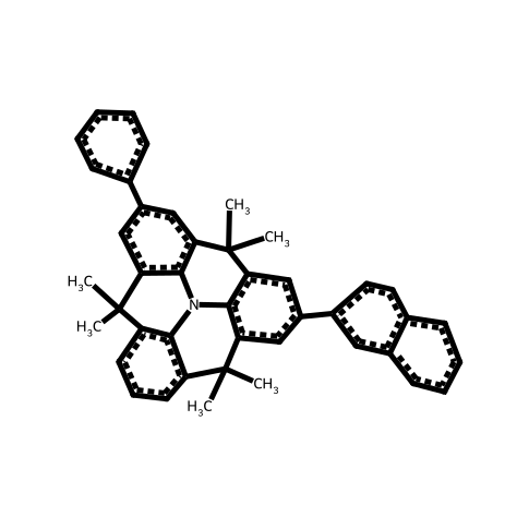 CC1(C)c2cccc3c2N2c4c1cc(-c1ccccc1)cc4C(C)(C)c1cc(-c4ccc5ccccc5c4)cc(c12)C3(C)C